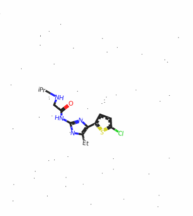 CCC1=C(c2ccc(Cl)s2)N=C(NC(=O)CNC(C)C)[N]1